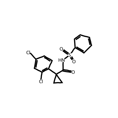 O=C(NS(=O)(=O)c1ccccc1)C1(c2ccc(Cl)cc2Cl)CC1